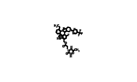 CCc1cccc(CC)c1-n1nc2c(c1-c1c(F)cc(COC(=O)CC[C@H](NC(C)=O)C(=O)O)c3[nH]ccc13)CN(c1ncc(C(F)(F)F)cn1)CC2